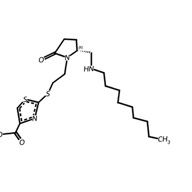 CCCCCCCCCNC[C@H]1CCC(=O)N1CCSc1nc(C(=O)O)cs1